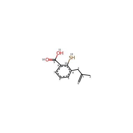 C=C(C)Cc1cccc(C(=O)O)c1S